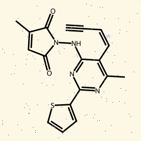 C#C/C=C\c1c(C)nc(-c2cccs2)nc1NN1C(=O)C=C(C)C1=O